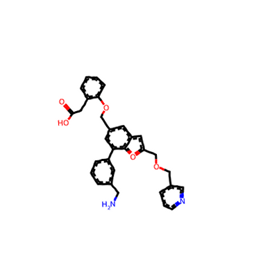 NCc1cccc(-c2cc(COc3ccccc3CC(=O)O)cc3cc(COCc4cccnc4)oc23)c1